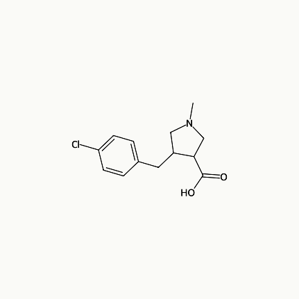 CN1CC(Cc2ccc(Cl)cc2)C(C(=O)O)C1